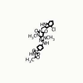 CC(=O)NS(=O)(=O)c1ccc(Nc2nc3c(c(=O)n(Cc4cc5c(Cl)cccc5[nH]4)c(=O)n3C)n2C)cc1